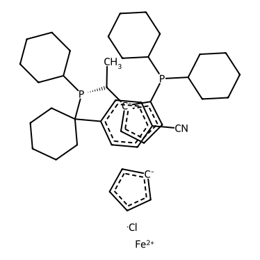 CC([c-]1cccc1P(C1CCCCC1)C1CCCCC1)[P@@](C1CCCCC1)C1(c2ccc(C#N)cc2)CCCCC1.[Cl].[Fe+2].c1cc[cH-]c1